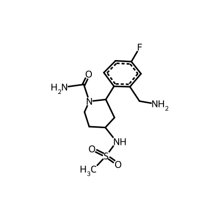 CS(=O)(=O)NC1CCN(C(N)=O)C(c2ccc(F)cc2CN)C1